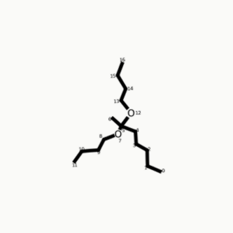 CCCCCC(C)(OCCCC)OCCCC